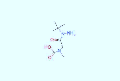 CN(CC(=O)N(N)C(C)(C)C)C(=O)O